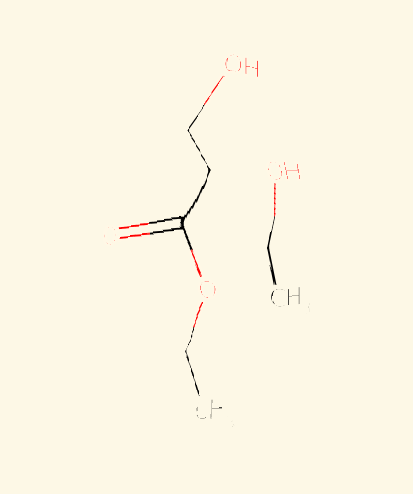 CCO.CCOC(=O)CCO